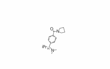 CC(C)[C@H](c1ccc(C(=O)N2CCCC2)cc1)N(C)C